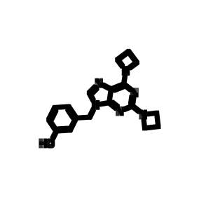 Oc1cccc(Cn2cnc3c(N4CCC4)nc(N4CCC4)nc32)c1